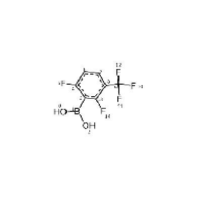 OB(O)c1c(F)ccc(C(F)(F)F)c1F